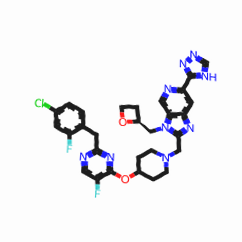 Fc1cc(Cl)ccc1Cc1ncc(F)c(OC2CCN(Cc3nc4cc(-c5nnc[nH]5)ncc4n3C[C@@H]3CCO3)CC2)n1